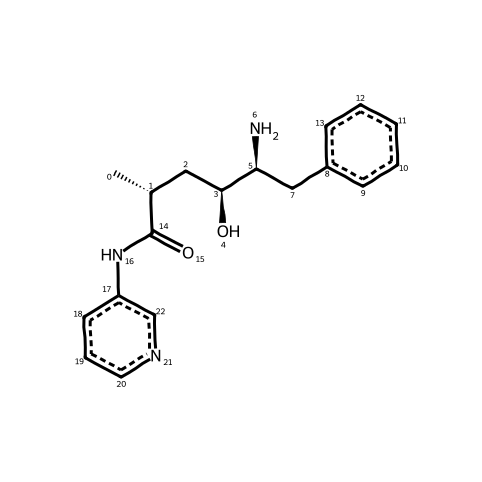 C[C@H](C[C@H](O)[C@@H](N)Cc1ccccc1)C(=O)Nc1cccnc1